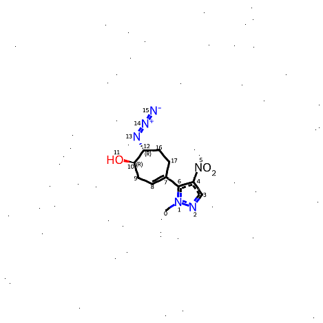 Cn1ncc([N+](=O)[O-])c1C1=CC[C@@H](O)[C@H](N=[N+]=[N-])CC1